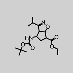 CCOC(=O)C1CC(NC(=O)OC(C)(C)C)C2C(C(C)C)=NOC12